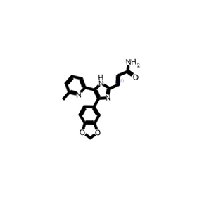 Cc1cccc(-c2[nH]c(/C=C/C(N)=O)nc2-c2ccc3c(c2)OCO3)n1